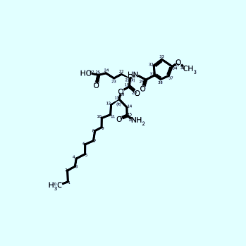 CCCCCCCCCCCCC[C@H](CC(N)=O)OC(=O)[C@@H](CCCC(=O)O)NC(=O)c1ccc(OC)cc1